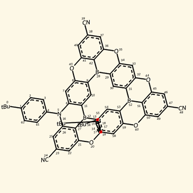 CC(C)(C)c1ccc(N2c3cc4c(cc3B3c5cc(C(C)(C)C)ccc5Oc5cc(C#N)cc2c53)B2c3cc5c(cc3Oc3cc(C#N)cc(c32)O4)Oc2cc(C#N)cc3c2B5c2cc(C(C)(C)C)ccc2O3)cc1